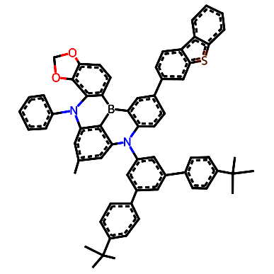 Cc1cc2c3c(c1)N(c1ccccc1)c1c(ccc4c1OCO4)B3c1cc(-c3ccc4c(c3)sc3ccccc34)ccc1N2c1cc(-c2ccc(C(C)(C)C)cc2)cc(-c2ccc(C(C)(C)C)cc2)c1